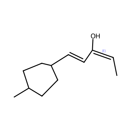 C/C=C(/O)C=CC1CCC(C)CC1